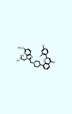 CC[C@H](O)Cn1c(CN2CCC(c3cccc4c3OC(c3ccc(Cl)cc3F)C=C4Cl)CC2)nc2ccc(C(=O)O)nc21